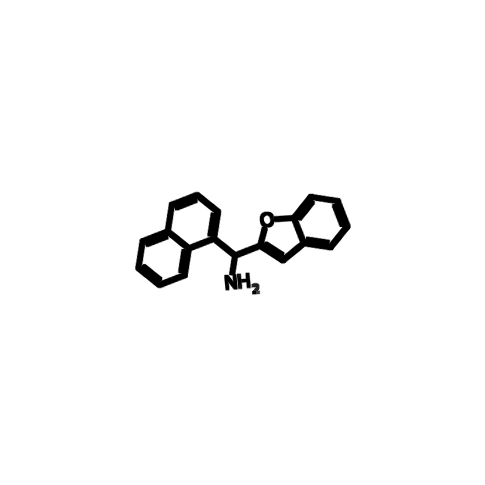 NC(c1cc2ccccc2o1)c1cccc2ccccc12